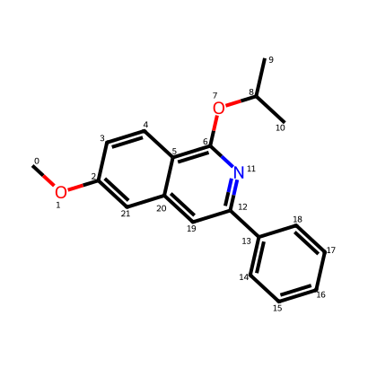 COc1ccc2c(OC(C)C)nc(-c3ccccc3)cc2c1